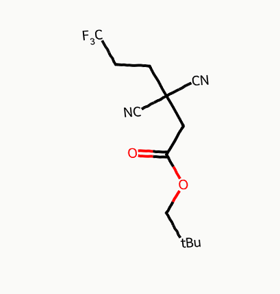 CC(C)(C)COC(=O)CC(C#N)(C#N)CCC(F)(F)F